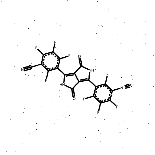 [C-]#[N+]c1c(F)c(F)c(F)c(C2=C3C(=O)NC(c4c(F)c(F)c(F)c(C#N)c4F)=C3C(=O)N2)c1F